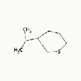 CC(C)C1CCCSC1